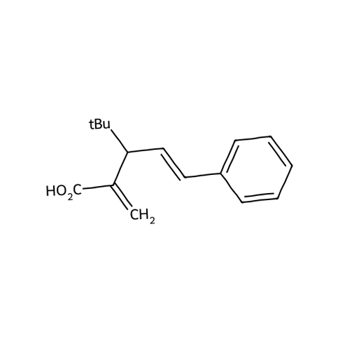 C=C(C(=O)O)C(C=Cc1ccccc1)C(C)(C)C